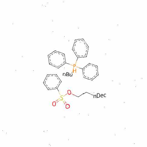 CCCCCCCCCCCCOS(=O)(=O)c1ccccc1.CCCC[PH](c1ccccc1)(c1ccccc1)c1ccccc1